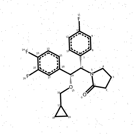 O=C1CCCN1[C@@H](c1ccc(F)cc1)[C@H](OCC1CC1)c1ccc(F)c(F)c1